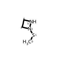 CSN1CCN1